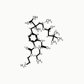 CCCOC(=O)Oc1ccc(CC(N)(C[C@H](C)OC(=O)CC(C)(C)C)C(=O)O)cc1OC(=O)OCCC